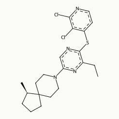 CCc1nc(N2CCC3(CCC[C@H]3C)CC2)cnc1Sc1ccnc(Cl)c1Cl